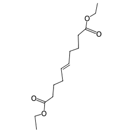 CCOC(=O)CCCC=CCCCC(=O)OCC